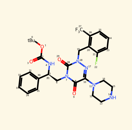 CC(C)(C)OC(=O)N[C@@H](Cn1c(=O)c(N2CCNCC2)nn(Cc2c(F)cccc2C(F)(F)F)c1=O)c1ccccc1